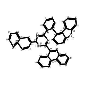 c1ccc(-c2cccc3oc4ccccc4c23)c(C2=NC(c3ccc4ccccc4c3)NC(c3cc4ccccc4c4ccccc34)=N2)c1